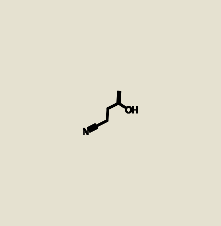 C=C(O)CCC#N